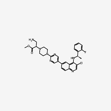 COC(=O)C(CN)N1CCN(c2ncc(-c3ccc4ncc(Cl)c(N[C@H](C)c5ccccc5F)c4c3)cn2)CC1